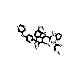 C=CC(=O)N[C@H]1CCC[C@H]1NC(=O)c1sc2c(N)ccc3c2c1C(N)C(=O)C3(N)c1ccc(Oc2cncnc2)cn1